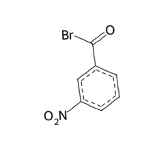 O=C(Br)c1cccc([N+](=O)[O-])c1